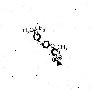 Cc1nc(S(=O)(=O)C2CC2)ccc1OC1CCC(OC2CCN(C(C)C)CC2)CC1